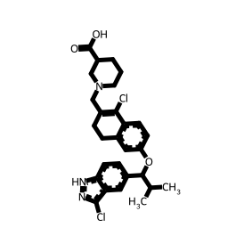 CC(C)C(Oc1ccc2c(c1)CCC(CN1CCCC(C(=O)O)C1)=C2Cl)c1ccc2[nH]nc(Cl)c2c1